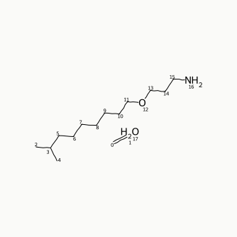 C=C.CC(C)CCCCCCCOCCCN.O